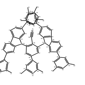 Cc1cc(C)cc(-c2ccc3c4ccc(-c5cc(C)cc(C)c5)cc4n(-c4cc(-c5cc(C)nc(C)c5)cc(-n5c6cc(-c7cc(C)cc(C)c7)ccc6c6ccc(-c7cc(C)cc(C)c7)cc65)c4C#N)c3c2)c1